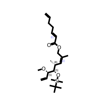 C=CCC/C=C/C(=O)OC/C(C)=C\[C@@H](C)[C@H](O[Si](C)(C)C(C)(C)C)[C@H](C=C)OC